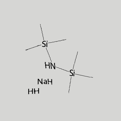 C[Si](C)(C)N[Si](C)(C)C.[HH].[NaH]